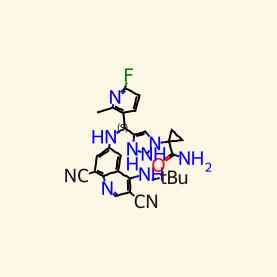 Cc1nc(F)ccc1[C@H](Nc1cc(C#N)c2ncc(C#N)c(NCC(C)(C)C)c2c1)C1=CN(C2(C(N)=O)CC2)NN1